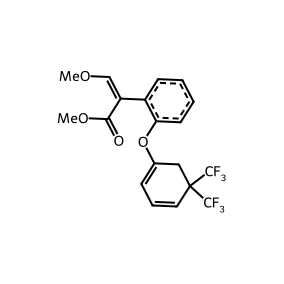 COC=C(C(=O)OC)c1ccccc1OC1=CC=CC(C(F)(F)F)(C(F)(F)F)C1